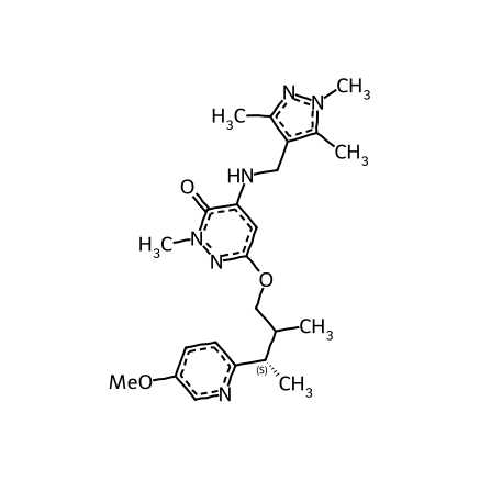 COc1ccc([C@@H](C)C(C)COc2cc(NCc3c(C)nn(C)c3C)c(=O)n(C)n2)nc1